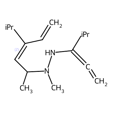 C=C=C(NN(C)C(C)/C=C(\C=C)C(C)C)C(C)C